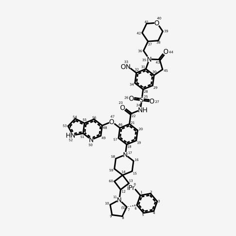 CC(C)c1ccccc1[C@@H]1CCCN1C1CC2(CCN(c3ccc(C(=O)NS(=O)(=O)c4cc5c(c(N=O)c4)N(CC4CCOCC4)C(=O)C5)c(Oc4cnc5[nH]ccc5c4)c3)CC2)C1